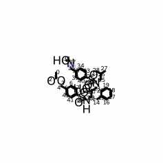 CC(=O)OCc1ccc(S(=O)(=O)N[C@@H](Cc2ccccc2)[C@H](O)CN(CC(C)C)S(=O)(=O)c2ccc(/C=N/O)cc2)cc1